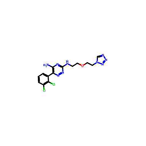 Nc1nc(NCCOCCn2cnnn2)nnc1-c1cccc(Cl)c1Cl